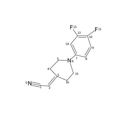 N#CC=C1CCN(c2ccc(F)c(F)c2)CC1